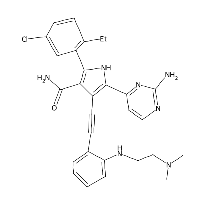 CCc1ccc(Cl)cc1-c1[nH]c(-c2ccnc(N)n2)c(C#Cc2ccccc2NCCN(C)C)c1C(N)=O